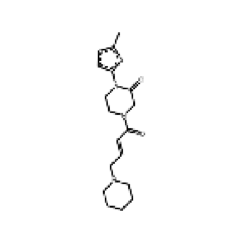 Cc1ccc(N2CCN(C(=O)/C=C/CN3CCCCC3)CC2=O)s1